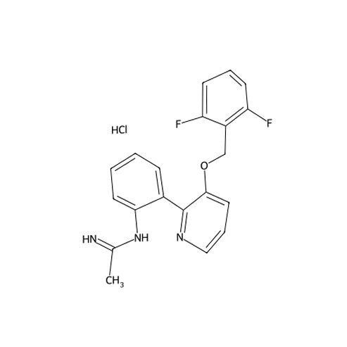 CC(=N)Nc1ccccc1-c1ncccc1OCc1c(F)cccc1F.Cl